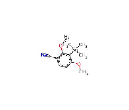 COc1ccc(C#N)c(OC)[c]1[Sn]([CH3])([CH3])[CH3]